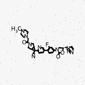 CN1CCN(CC(=O)N2CC3C(C2)C3(C#N)c2ccc(-c3ccc(N4C[C@H](Cn5ccnn5)OC4=O)cc3F)cn2)CC1